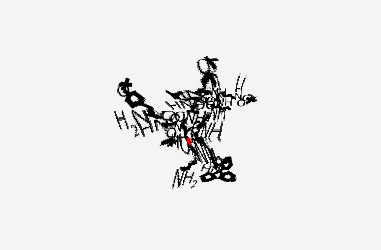 CC[C@H](C)[C@H](NC(=O)[C@H](CCCCNC(=O)OC(C)(C)C)NC(=O)[C@H](CC(=O)OC(C)(C)C)NC(=O)[C@H](CC(C)C)NC(=O)C(C)(C)NC(=O)[C@@H](NC(=O)[C@H](COC(C)(C)C)NC(=O)[C@@H](N)Cc1ccc(OC(C)(C)C)cc1)[C@@H](C)CC)C(=O)N[C@@H](C)C(=O)N[C@@H](CCC(=O)NC(c1ccccc1)(c1ccccc1)c1ccccc1)C(=O)N[C@@H](CCCCN)C(=O)O